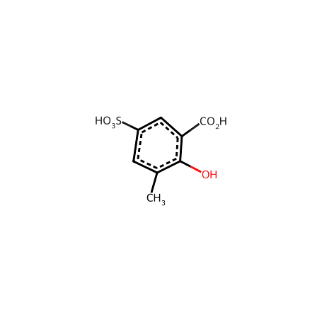 Cc1cc(S(=O)(=O)O)cc(C(=O)O)c1O